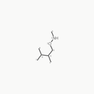 CNOCC(C)C(C)C